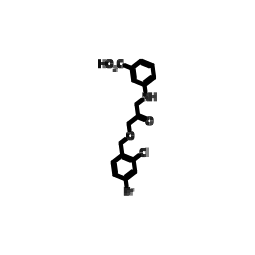 O=C(CNc1cccc(C(=O)O)c1)COCc1ccc(Br)cc1Cl